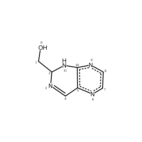 OCC1N=Cc2nccnc2N1